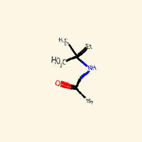 CCCC(=O)NC(C)(CC)C(=O)O